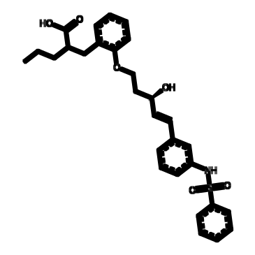 CCCC(Cc1ccccc1OCC[C@@H](O)/C=C/c1cccc(NS(=O)(=O)c2ccccc2)c1)C(=O)O